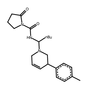 CCCCC(NC(=O)N1CCCC1=O)N1CC=CC(c2ccc(C)cc2)C1